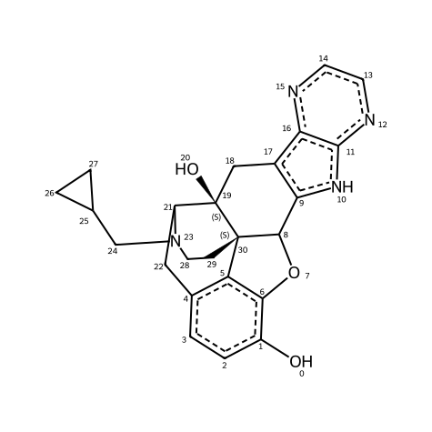 Oc1ccc2c3c1OC1c4[nH]c5nccnc5c4C[C@@]4(O)C(C2)N(CC2CC2)CC[C@]314